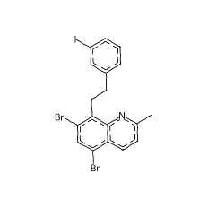 Cc1ccc2c(Br)cc(Br)c(CCc3cccc(I)c3)c2n1